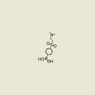 CN(C)CCS(=O)(=O)c1ccc(B(O)O)cc1